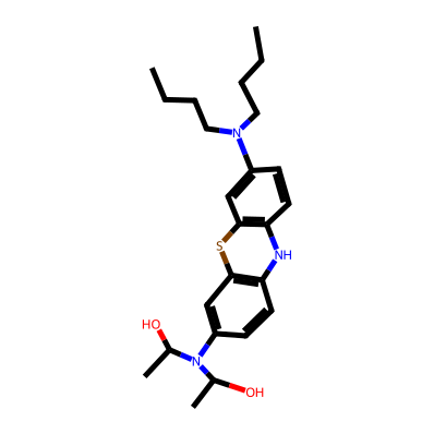 CCCCN(CCCC)c1ccc2c(c1)Sc1cc(N(C(C)O)C(C)O)ccc1N2